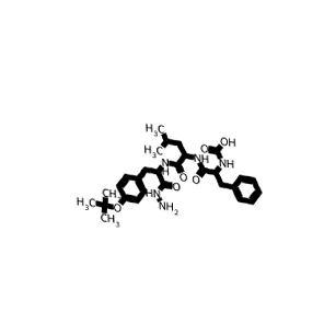 CC(C)CC(NC(=O)C(Cc1ccccc1)NC(=O)O)C(=O)NC(Cc1ccc(OC(C)(C)C)cc1)C(=O)NN